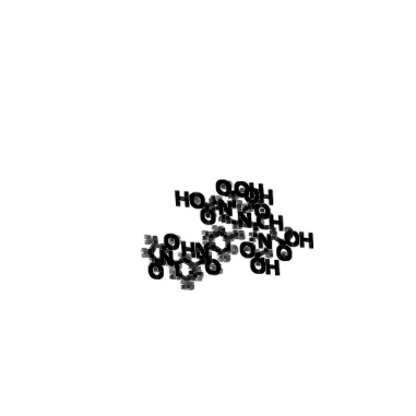 C[C@@H](CN(CC(=O)O)CC(=O)O)N(CC(=O)O)[C@H](Cc1ccc(NC(=O)c2cccc(N3C(=O)C=CC3=O)c2)cc1)CN(CC(=O)O)CC(=O)O